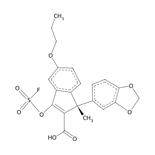 CCCOc1ccc2c(c1)C(OS(=O)(=O)F)=C(C(=O)O)[C@@]2(C)c1ccc2c(c1)OCO2